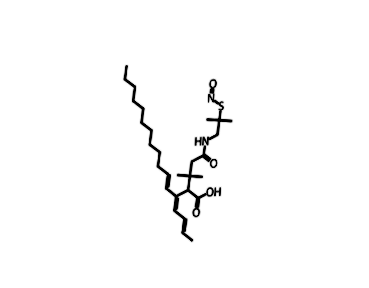 CC=CC=C(C=CCCCCCCCCCC)C(C(=O)O)C(C)(C)CC(=O)NCC(C)(C)SN=O